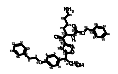 CC(c1ccc(OCCc2ccccc2)cc1)c1nc(C(=O)C(CCCCN)NC(=O)OCc2ccccc2)no1.Cl